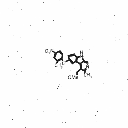 COCc1c(C)ncc2[nH]c3ccc(Oc4ccc([N+](=O)[O-])cc4C)cc3c12